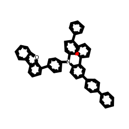 c1ccc(-c2ccc(-c3ccc(N(c4ccc(-c5ccccc5)cc4)c4ccc(-c5cccc6c5oc5ccccc56)cc4)c(-c4ccccc4)c3)cc2)cc1